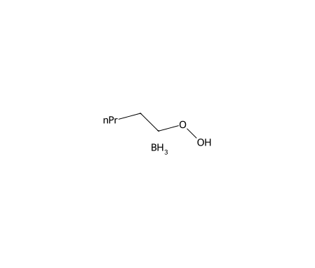 B.CCCCCOO